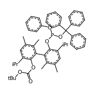 Cc1cc(C(C)C)c(OC(=O)OC(C)(C)C)c(-c2c(C)c(C)cc(C(C)C)c2OP(Oc2ccccc2)OC(c2ccccc2)(c2ccccc2)c2ccccc2)c1C